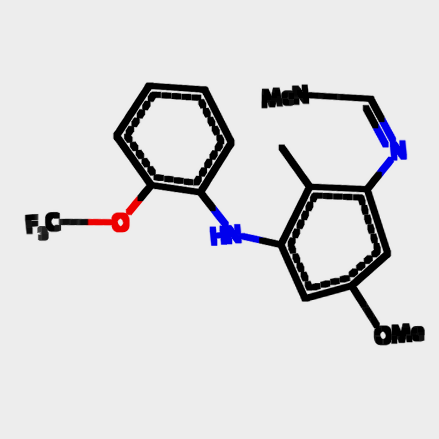 CN/C=N\c1cc(OC)cc(Nc2ccccc2OC(F)(F)F)c1C